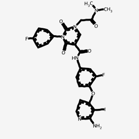 CN(C)C(=O)Cn1cc(C(=O)Nc2ccc(Oc3ccnc(N)c3I)c(F)c2)c(=O)n(-c2ccc(F)cc2)c1=O